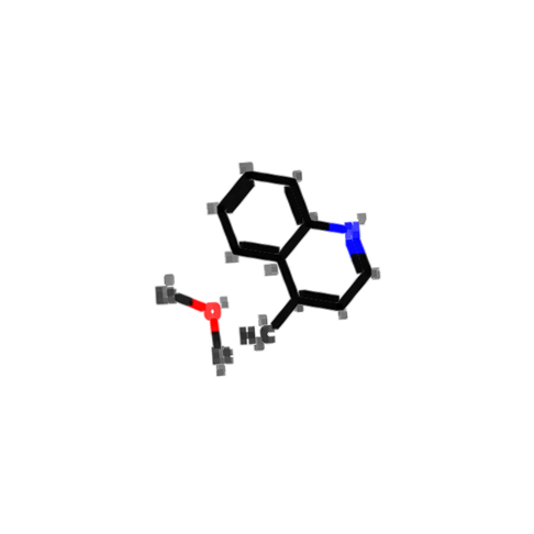 CCOCC.Cc1ccnc2ccccc12